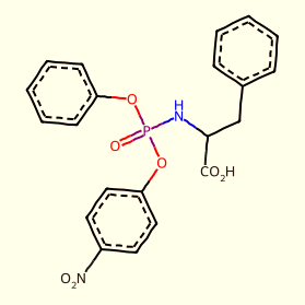 O=C(O)C(Cc1ccccc1)NP(=O)(Oc1ccccc1)Oc1ccc([N+](=O)[O-])cc1